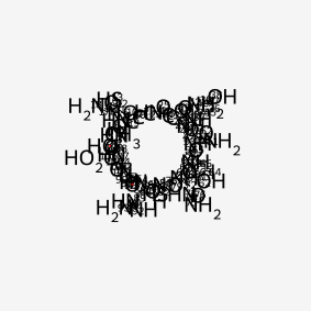 C[C@@H](O)[C@@H]1NC(=O)[C@@H](NC(=O)[C@H](CS)NC(=O)CN)CCCCNC(=O)CC[C@H](C(=O)N[C@@H](Cc2ccc(O)cc2)C(N)=O)NC(=O)[C@H](CCC(N)=O)NC(=O)C(Cc2ccc(O)c(I)c2)NC(=O)[C@H](CCCNC(N)=O)NC(=O)[C@H](CS)NC(=O)[C@H](CCCNC(=N)N)NC(=O)[C@@H]2CCCN2C(=O)[C@H](CC(=O)O)NC1=O